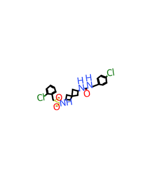 O=C(NCc1ccc(Cl)cc1)NC1CC2(C1)CC(NS(=O)(=O)Cc1ccccc1Cl)C2